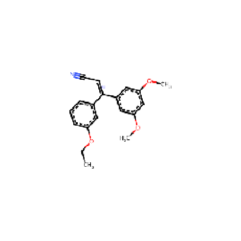 CCOc1cccc(/C(=C\C#N)c2cc(OC)cc(OC)c2)c1